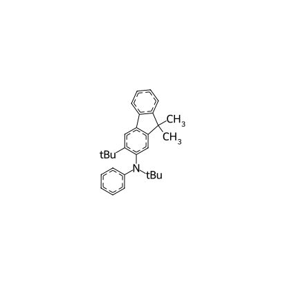 CC(C)(C)c1cc2c(cc1N(c1ccccc1)C(C)(C)C)C(C)(C)c1ccccc1-2